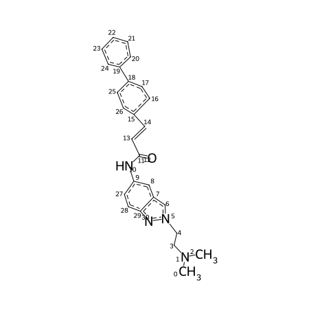 CN(C)CCn1cc2cc(NC(=O)/C=C/c3ccc(-c4ccccc4)cc3)ccc2n1